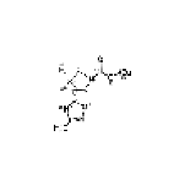 Cc1noc([C@]23C[C@H]2CN(C(=O)OC(C)(C)C)C3)n1